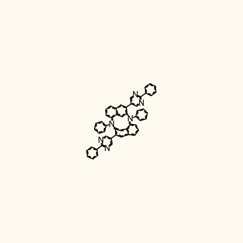 c1ccc(-c2ncc(-c3cc4cccc5c4cc3n(-c3ccccc3)c3cccc4cc(-c6cnc(-c7ccccc7)nc6)c(cc43)n5-c3ccccc3)cn2)cc1